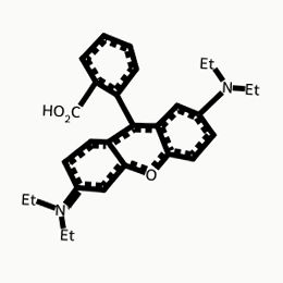 CCN(CC)c1ccc2oc3cc(=[N+](CC)CC)ccc-3c(-c3ccccc3C(=O)O)c2c1